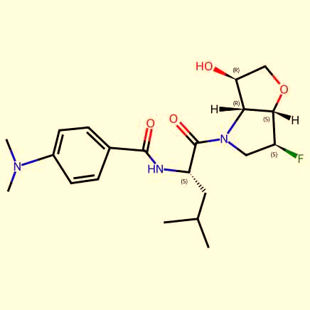 CC(C)C[C@H](NC(=O)c1ccc(N(C)C)cc1)C(=O)N1C[C@H](F)[C@H]2OC[C@H](O)[C@H]21